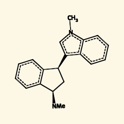 CN[C@@H]1C[C@H](c2cn(C)c3ccccc23)c2ccccc21